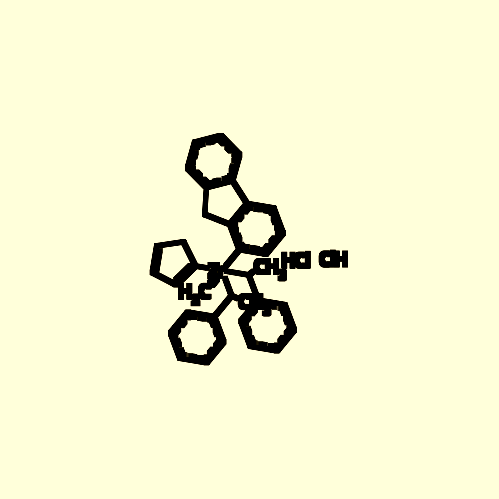 Cl.Cl.[CH2]=[Zr]([C]1=CC=CC1)([c]1cccc2c1Cc1ccccc1-2)([CH](C)c1ccccc1)[CH](C)c1ccccc1